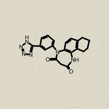 O=C1CC(=O)N(c2cccc(-c3nnn[nH]3)c2)c2ccc3c(c2N1)CCCC3